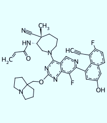 C#Cc1c(F)ccc2cc(O)cc(-c3ncc4c(N5CCC[C@@](C)(C#N)[C@@H](NC(=O)C=C)C5)nc(OCC56CCCN5CCC6)nc4c3F)c12